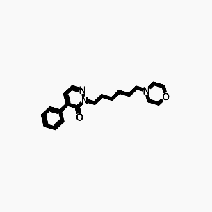 O=c1c(-c2ccccc2)ccnn1CCCCCCN1CCOCC1